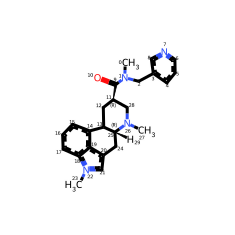 CN(Cc1cccnc1)C(=O)[C@@H]1CC2c3cccc4c3c(cn4C)C[C@H]2N(C)C1